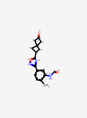 Cc1ccc(-c2noc(C3CC4(CC(=O)C4)C3)n2)cc1NC=O